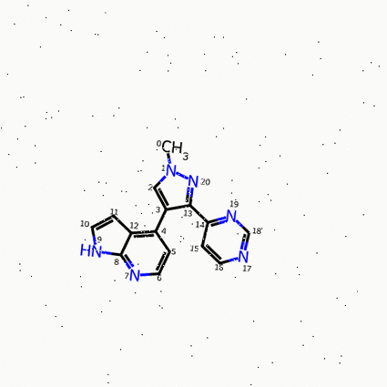 Cn1cc(-c2ccnc3[nH]ccc23)c(-c2ccncn2)n1